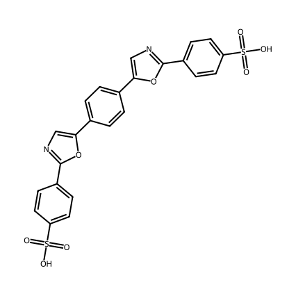 O=S(=O)(O)c1ccc(-c2ncc(-c3ccc(-c4cnc(-c5ccc(S(=O)(=O)O)cc5)o4)cc3)o2)cc1